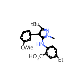 CCc1ccc(Nc2c(-c3cccc(OC)c3)c(C(C)(C)C)nn2C)c(C(=O)O)c1